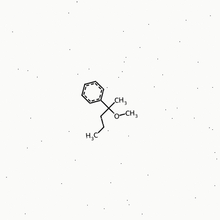 CCCC(C)(OC)c1ccccc1